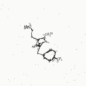 COCCc1[nH]c(Cc2ccc(C(F)(F)F)cc2)nc1C(=O)O